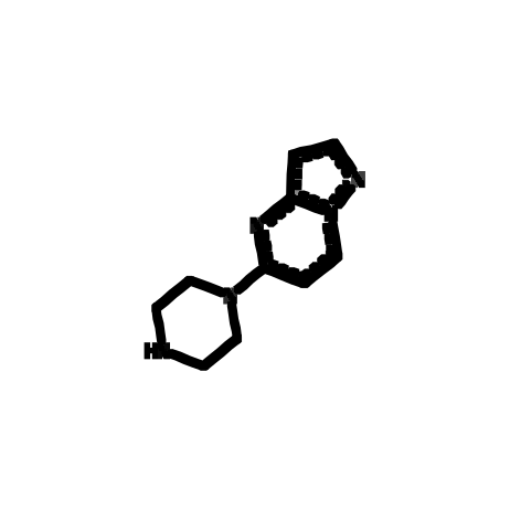 c1cc2nc(N3CCNCC3)ccn2n1